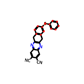 N#Cc1cc2nc3c(nc2cc1C#N)C1c2cc(Sc4ccccc4)ccc2C3c2ccc(Sc3ccccc3)cc21